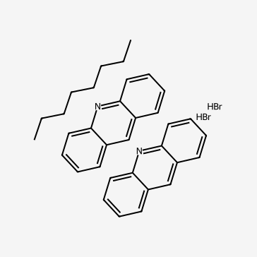 Br.Br.CCCCCCCC.c1ccc2nc3ccccc3cc2c1.c1ccc2nc3ccccc3cc2c1